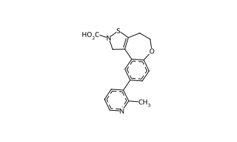 Cc1ncccc1-c1ccc2c(c1)C1=C(CCO2)SN(C(=O)O)C1